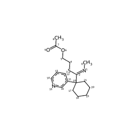 CN=C(SCCOC(C)=O)C1(c2cccnc2)CCCCC1